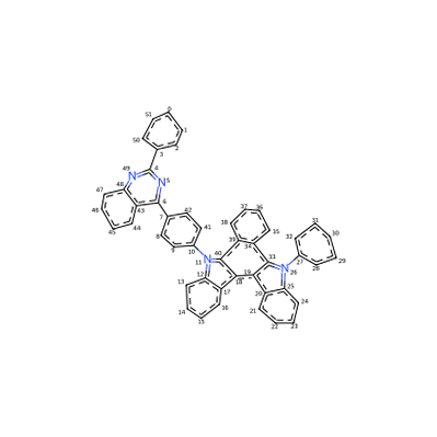 c1ccc(-c2nc(-c3ccc(-n4c5ccccc5c5c6c7ccccc7n(-c7ccccc7)c6c6ccccc6c54)cc3)c3ccccc3n2)cc1